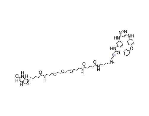 CN(C/C=C/C(=O)Nc1cccc(Nc2cc(Nc3ccc(Oc4ccccc4)cc3)ncn2)c1)CCCCNC(=O)CCCC(=O)NCCCOCCOCCOCCCNC(=O)CCCC[C@@H]1SC[C@@H]2NC(=O)N[C@@H]21